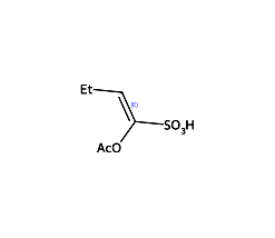 CC/C=C(\OC(C)=O)S(=O)(=O)O